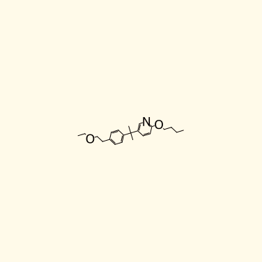 CCCCOc1ccc(C(C)(C)c2ccc(CCOCC)cc2)cn1